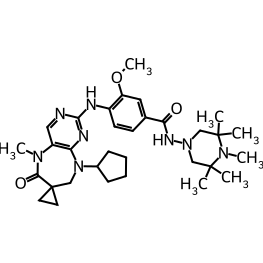 COc1cc(C(=O)NN2CC(C)(C)N(C)C(C)(C)C2)ccc1Nc1ncc2c(n1)N(C1CCCC1)CC1(CC1)C(=O)N2C